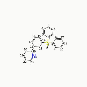 CS(c1ccccc1)(c1ccccc1)c1cccc(-c2ccccn2)c1